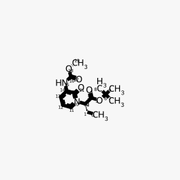 CC[C@@H](C(=O)OC(C)(C)C)n1cccc(NC(=O)OC)c1=O